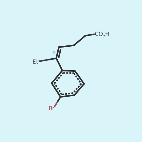 CC/C(=C/CCC(=O)O)c1cccc(Br)c1